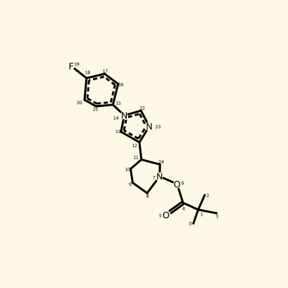 CC(C)(C)C(=O)ON1CCCC(c2cn(-c3ccc(F)cc3)cn2)C1